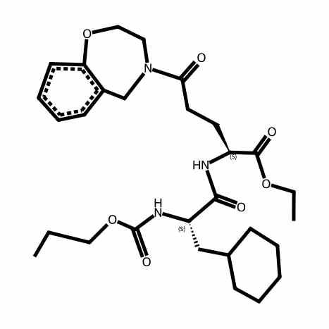 CCCOC(=O)N[C@@H](CC1CCCCC1)C(=O)N[C@@H](CCC(=O)N1CCOc2ccccc2C1)C(=O)OCC